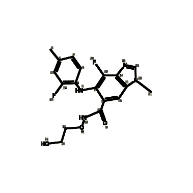 Cc1ccc(Nc2c(C(=O)NOCCO)cc3c(ncn3C)c2F)c(F)c1